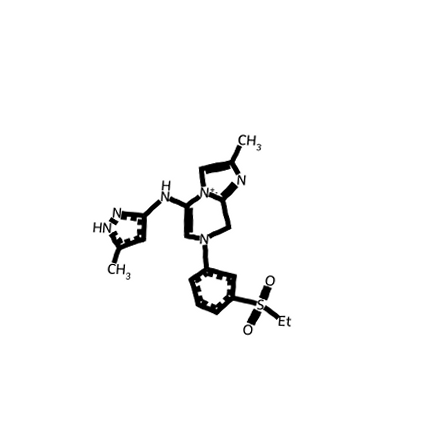 CCS(=O)(=O)c1cccc(N2C=C(Nc3cc(C)[nH]n3)[N+]3C=C(C)N=C3C2)c1